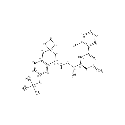 C=CC[C@H](NC(=O)c1cccnc1F)[C@H](O)CN[C@H]1CC2(CCC2)Oc2ncc(CC(C)(C)C)cc21